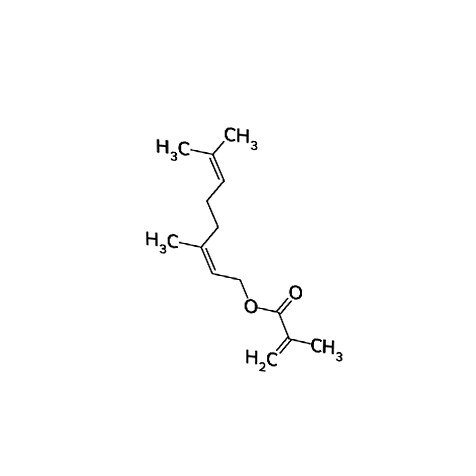 C=C(C)C(=O)OC/C=C(/C)CCC=C(C)C